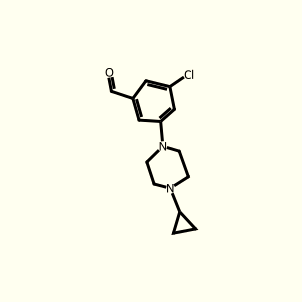 O=Cc1cc(Cl)cc(N2CCN(C3CC3)CC2)c1